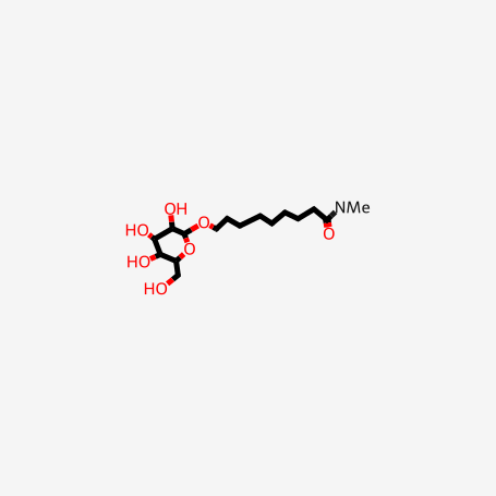 CNC(=O)CCCCCCCCOC1OC(CO)C(O)C(O)C1O